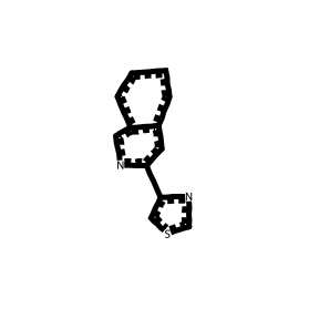 [c]1nc(-c2cc3ccccc3cn2)cs1